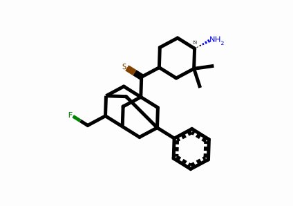 CC1(C)CC(C(=S)C23CC4CC(c5ccccc5)(CC(C2)C4CF)C3)CC[C@@H]1N